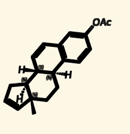 CC(=O)Oc1ccc2c(c1)C=C[C@@H]1[C@@H]2CC[C@]2(C)C=CC[C@@H]12